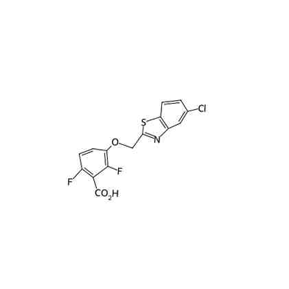 O=C(O)c1c(F)ccc(OCc2nc3cc(Cl)ccc3s2)c1F